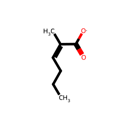 CCCC=C(C)C([O])=O